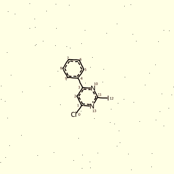 Clc1cc(-c2ccccc2)nc(I)n1